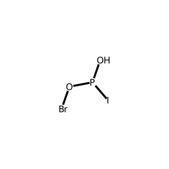 OP(I)OBr